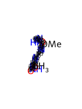 COc1cc2nn(C3CCC(CCN4CCN(c5ccc(N6CCC(=O)NC6=O)c(C)c5)CC4)CC3)cc2cc1C(=O)Nc1cnc2cccnn12